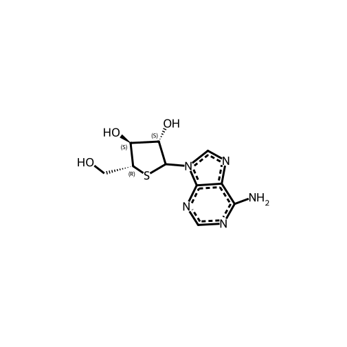 Nc1ncnc2c1ncn2C1S[C@H](CO)[C@@H](O)[C@@H]1O